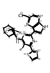 Fc1c(N[C@@H]2CC3CCC2CC3)nc(-c2c[nH]c3ncc(Cl)nc23)nc1-c1nccs1